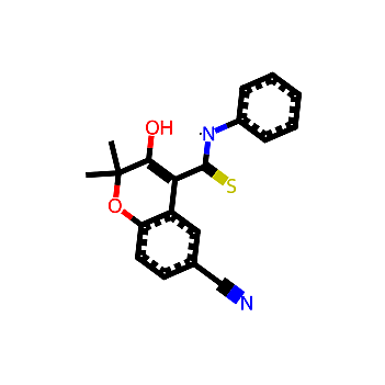 CC1(C)Oc2ccc(C#N)cc2C(C(=S)[N]c2ccccc2)=C1O